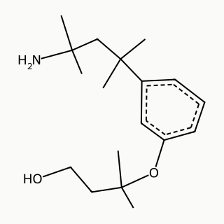 CC(C)(N)CC(C)(C)c1cccc(OC(C)(C)CCO)c1